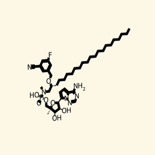 CCCCCCCCCCCCCCCCCCCC[C@H](CN(C)P(=O)(O)OC[C@@]1(C)O[C@@H](c2ccc3c(N)ncnn23)[C@H](O)[C@@H]1O)OCc1cc(F)cc(C#N)c1